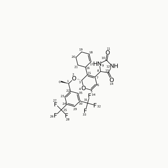 C[C@@H](O[C@H]1OC=CC(C2NC(=O)NC2=O)=C1C1C=CCCC1)c1cc(C(F)(F)F)cc(C(F)(F)F)c1